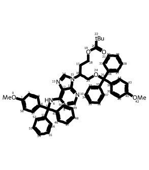 COc1ccc(C(Nc2ncnc3c2ncn3C(CCOC(=O)C(C)(C)C)COC(c2ccccc2)(c2ccccc2)c2ccc(OC)cc2)(c2ccccc2)c2ccccc2)cc1